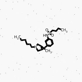 CCCCCCN1CC2C(C1)C2(C)c1cccc(NS(=O)(=O)CCCC)c1